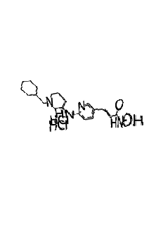 Cl.Cl.O=C(/C=C/c1ccc(N[C@@H]2CCCN(CC3CCCCC3)C2)nc1)NO